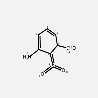 NC1=CC=CC(C=O)C1=S(=O)=O